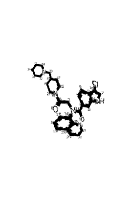 O=C(CN(C(=O)c1ccc2c(Cl)c[nH]c2c1)c1cccc2cccnc12)N1CCC(CN2CCCCC2)CC1